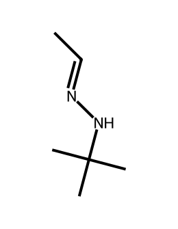 CC=NNC(C)(C)C